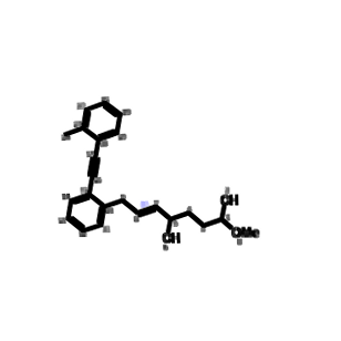 COC(O)CCC(O)/C=C/Cc1ccccc1C#Cc1ccccc1C